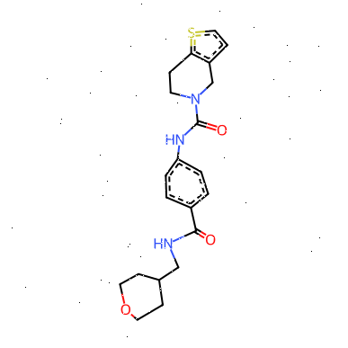 O=C(NCC1CCOCC1)c1ccc(NC(=O)N2CCc3sccc3C2)cc1